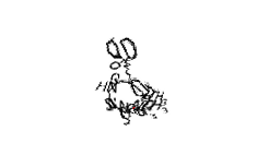 CC(C)C1NC(=O)[C@]2(C)CSC(=N2)c2csc(n2)CNC(=O)C[C@@H](/C=C/CCSC(c2ccccc2)(c2ccccc2)c2ccccc2)OC1=O